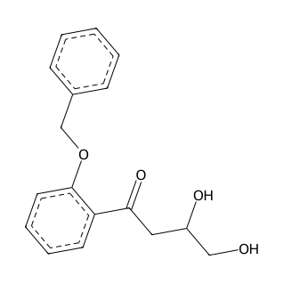 O=C(CC(O)CO)c1ccccc1OCc1ccccc1